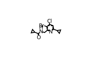 O=C(NCc1nc(C2CC2)cc(Cl)c1Br)C1CC1